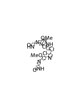 COc1cc(-c2nccc(-c3cccc4c3CCC4Nc3nc(OC)c(CN4CC5(CNC(=O)C5)C4)nc3C(F)(F)F)c2Cl)ccc1CN1CC2(CNC(=O)C2)C1